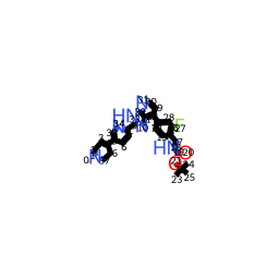 CN1CC=C(c2ccc(-c3nc4c(-c5ccc(CNC(=O)OC(C)(C)C)c(F)c5)ccnc4[nH]3)nc2)CC1